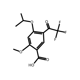 COc1cc(OC(C)C)c(C(=O)C(F)(F)F)cc1C(=O)O